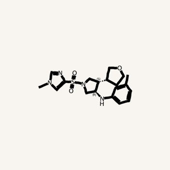 Cc1cccc(N[C@H]2CN(S(=O)(=O)c3cn(C)cn3)C[C@@H]2C2CCOC2)c1